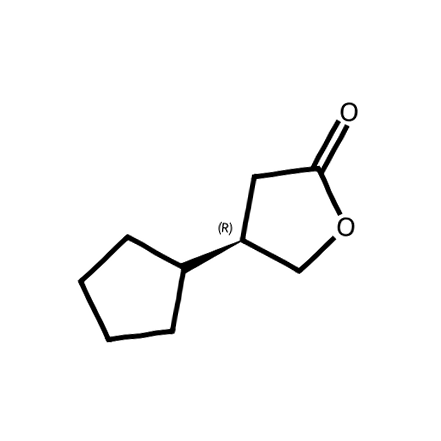 O=C1C[C@H](C2CCCC2)CO1